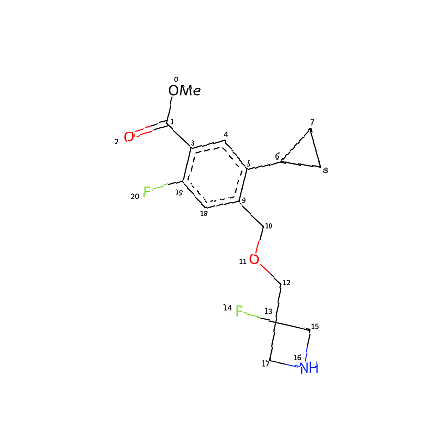 COC(=O)c1cc(C2CC2)c(COCC2(F)CNC2)cc1F